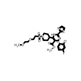 COCCOCCS(=O)(=O)N1CCC(C2=C(C(=O)OC)[C@@H](c3ccc(F)cc3Cl)N=C(c3nccs3)N2)CC1